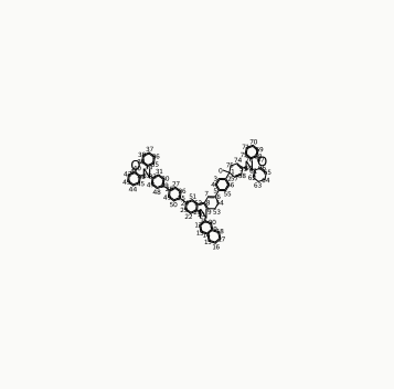 CC1(c2ccc(C3=Cc4c(n(-c5ccc6ccccc6c5)c5ccc(-c6ccc(-c7ccc(N8c9ccccc9Oc9ccccc98)cc7)cc6)cc45)CC3)cc2)C=CC(N2C3=CCCC=C3Oc3ccccc32)=CC1